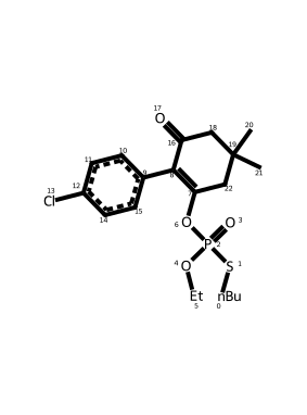 CCCCSP(=O)(OCC)OC1=C(c2ccc(Cl)cc2)C(=O)CC(C)(C)C1